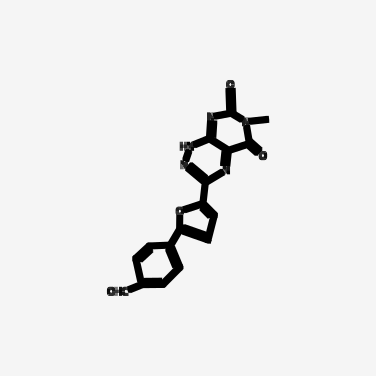 Cn1c(=O)nc2[nH]nc(-c3ccc(-c4ccc(C=O)cc4)o3)nc-2c1=O